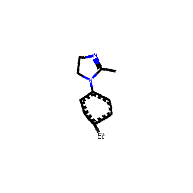 CCc1ccc(N2CCN=C2C)cc1